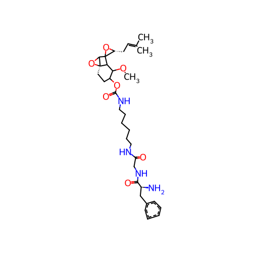 COC1C(OC(=O)NCCCCCCNC(=O)CNC(=O)[C@@H](N)Cc2ccccc2)CC[C@]23OC2C2(O[C@@H]2CC=C(C)C)C13